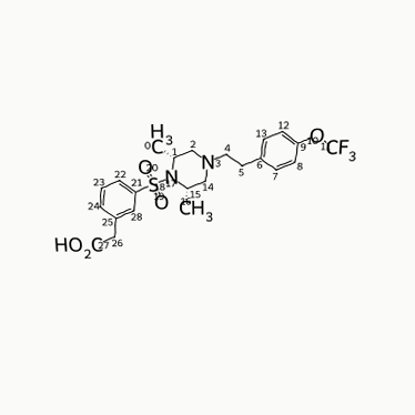 C[C@@H]1CN(CCc2ccc(OC(F)(F)F)cc2)C[C@H](C)N1S(=O)(=O)c1cccc(CC(=O)O)c1